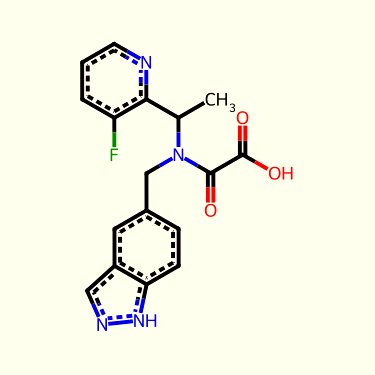 CC(c1ncccc1F)N(Cc1ccc2[nH]ncc2c1)C(=O)C(=O)O